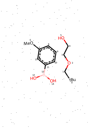 CC(C)(C)COCCO.COc1cccc(B(O)O)c1